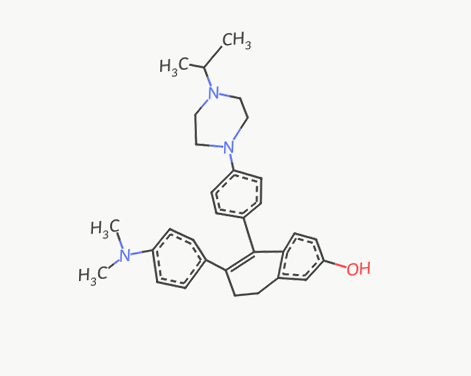 CC(C)N1CCN(c2ccc(C3=C(c4ccc(N(C)C)cc4)CCc4cc(O)ccc43)cc2)CC1